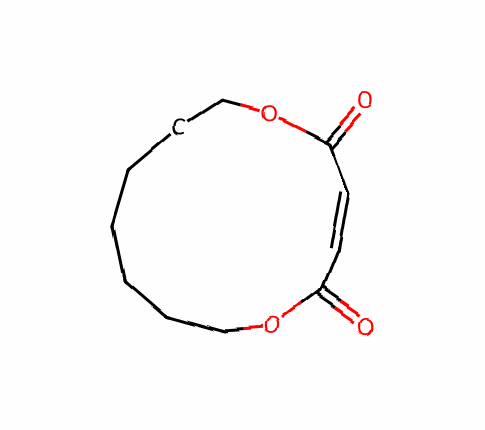 O=C1/C=C\C(=O)OCCCCCCCO1